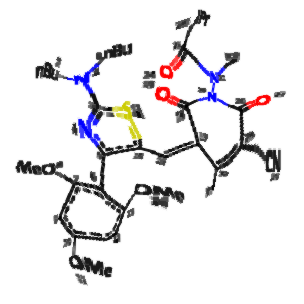 CCCCN(CCCC)c1nc(-c2c(OC)cc(OC)cc2OC)c(/C=C2\C(=O)N(N(C)C(=O)C(C)C)C(=O)C(C#N)=C2C)s1